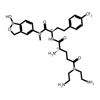 CN(C(=O)[C@@H](CCc1ccc(C(F)(F)F)cc1)NC(=O)[C@@H](N)CCC(=O)N(CCN)CCN)c1ccc2c(c1)COB2O